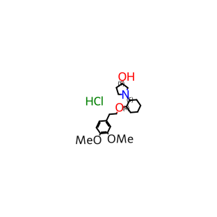 COc1ccc(CCO[C@@H]2CCCC[C@@H]2N2CC[C@H](O)C2)cc1OC.Cl